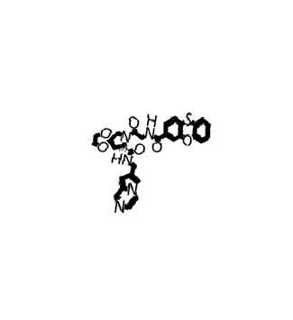 O=C(NCC(=O)N1CC2(C[C@H]1C(=O)NCc1cc3cnccn3c1)OCCO2)c1ccc2c(c1)Oc1ccccc1S2